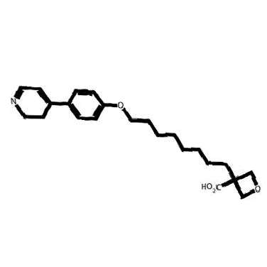 O=C(O)C1(CCCCCCCCOc2ccc(C3=CC=NCC3)cc2)COC1